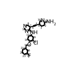 Nc1ccc(C#Cc2cncnc2Nc2ccc(OCc3cccc(F)c3)c(Cl)c2)cn1